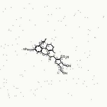 C=C(C)[C@@H]1CCC(C)=C[C@H]1c1c(O)cc(CCCCC)cc1OC(=O)NCC1=C(C(=O)O)N2C(O)[C@H]([C@@H](C)O)C2S1